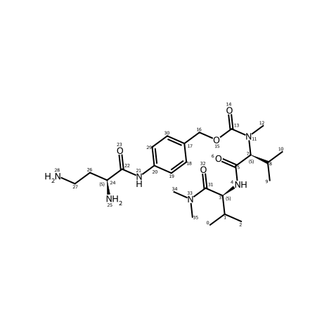 CC(C)[C@H](NC(=O)[C@H](C(C)C)N(C)C(=O)OCc1ccc(NC(=O)[C@@H](N)CCN)cc1)C(=O)N(C)C